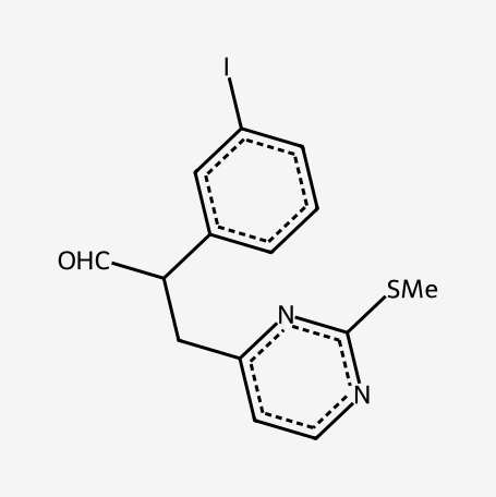 CSc1nccc(CC(C=O)c2cccc(I)c2)n1